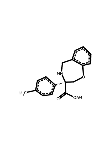 COC(=O)[C@]1(c2ccc(C)cc2)COc2ccccc2CN1